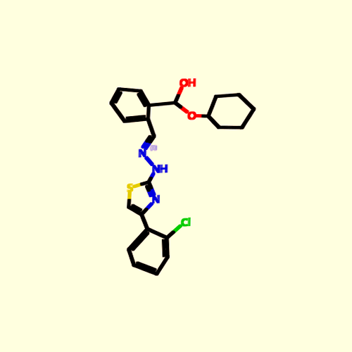 OC(OC1CCCCC1)c1ccccc1/C=N/Nc1nc(-c2ccccc2Cl)cs1